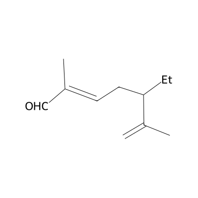 C=C(C)C(CC)CC=C(C)C=O